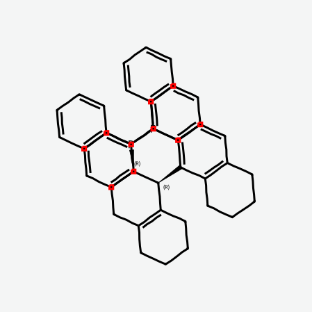 c1ccc(P(c2ccccc2)c2ccc3c(c2[C@H]2C4=C(CCCC4)CC[C@H]2P(c2ccccc2)c2ccccc2)CCCC3)cc1